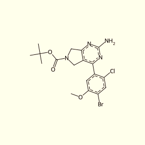 COc1cc(-c2nc(N)nc3c2CN(C(=O)OC(C)(C)C)C3)c(Cl)cc1Br